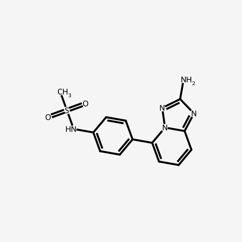 CS(=O)(=O)Nc1ccc(-c2cccc3nc(N)nn23)cc1